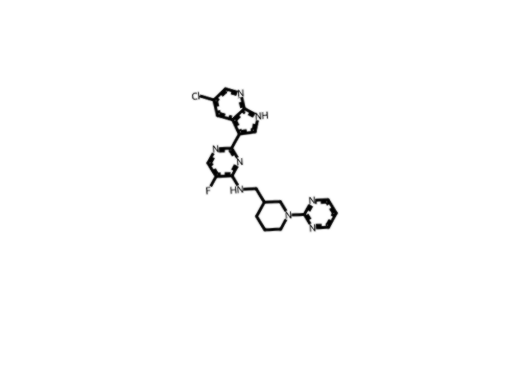 Fc1cnc(-c2c[nH]c3ncc(Cl)cc23)nc1NCC1CCCN(c2ncccn2)C1